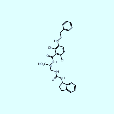 O=C(NC[C@H](NC(=O)c1c(Cl)ccc(NCCc2ccccc2)c1Cl)C(=O)O)NC1CCc2ccccc21